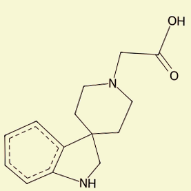 O=C(O)CN1CCC2(CC1)CNc1ccccc12